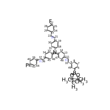 CC1(C)OB(c2cccc(/C=C/c3ccc(N(c4ccc(/C=C/c5ccc(F)cc5)cc4)c4ccc(/C=C/c5ccc(F)cc5)cc4)cc3)c2)OC1(C)C